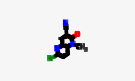 Cn1c(=O)c(C#N)[c]c2nc(Br)ccc21